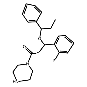 CCC(OC(OC(=O)N1CCNCC1)c1ccccc1F)c1ccccc1